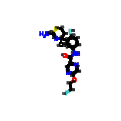 C[C@@]1(c2cc(NC(=O)c3cnc(OCCF)cn3)ccc2F)CCSC(N)=N1